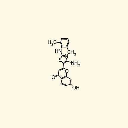 Cc1cccc(C)c1Nc1nc(N)c(-c2cc(=O)c3ccc(O)cc3o2)s1